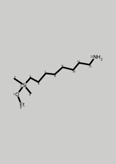 CCO[Si](C)(C)CCCCCCCCN